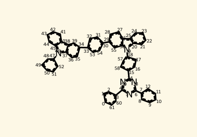 c1ccc(-c2nc(-c3ccccc3)nc(-c3ccc(-n4c5ccccc5c5ccc(-c6ccc(-c7ccc8c(c7)c7ccccc7n8-c7ccccc7)cc6)cc54)cc3)n2)cc1